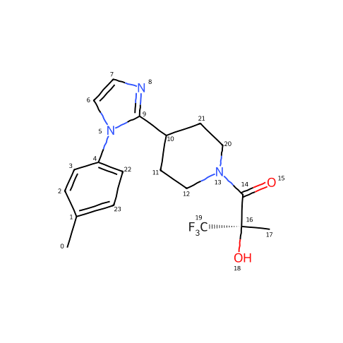 Cc1ccc(-n2ccnc2C2CCN(C(=O)[C@@](C)(O)C(F)(F)F)CC2)cc1